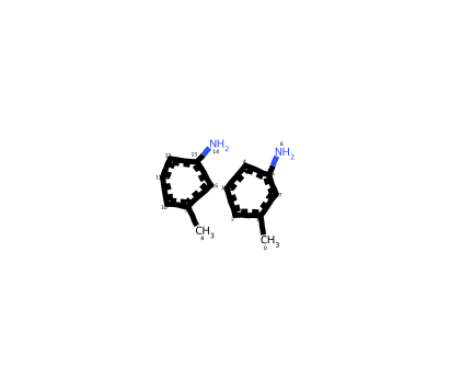 Cc1cccc(N)c1.Cc1cccc(N)c1